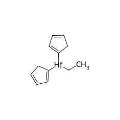 C[CH2][Hf]([C]1=CC=CC1)[C]1=CC=CC1